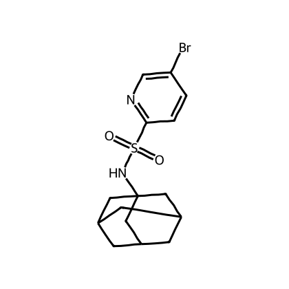 O=S(=O)(NC12CC3CC(CC(C3)C1)C2)c1ccc(Br)cn1